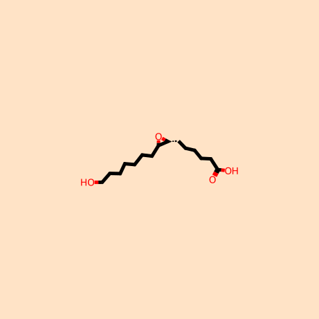 O=C(O)CCCCC[C@H]1OC1CCCCCCCO